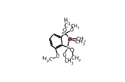 COc1cccc([Si](OC)(OC)OC)c1[Si](OC)(OC)OC